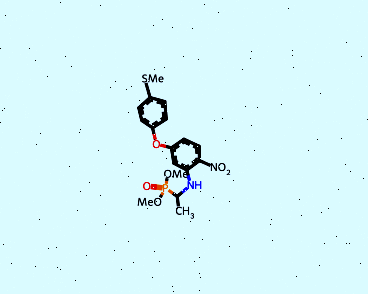 COP(=O)(OC)C(C)Nc1cc(Oc2ccc(SC)cc2)ccc1[N+](=O)[O-]